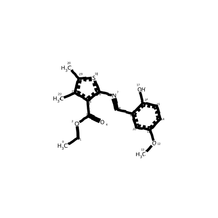 CCOC(=O)c1c(N=Cc2cc(OC)ccc2O)sc(C)c1C